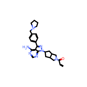 C=CC(=O)N1CC2CC(n3nc(-c4ccc(CN5CCCC5)cc4)c4c(N)ncnc43)CC2C1